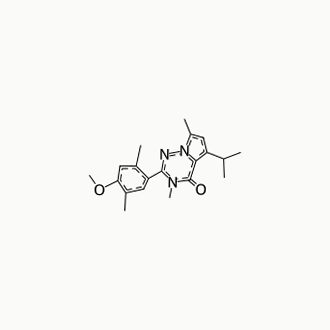 COc1cc(C)c(-c2nn3c(C)cc(C(C)C)c3c(=O)n2C)cc1C